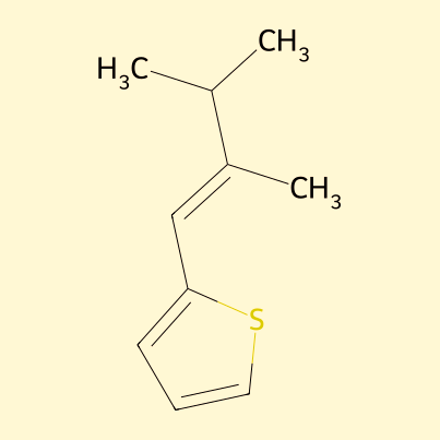 C/C(=C\c1cccs1)C(C)C